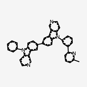 Cc1cccc(-c2cccc(-n3c4ccncc4c4cc(-c5ccc6c(c5)c5cnccc5n6-c5ccccc5)ccc43)c2)n1